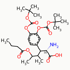 CCCC(=O)OC(C)C(C)C(c1ccc(OC(=O)OC(C)(C)C)c(OC(=O)OC(C)(C)C)c1)[C@H](N)C(=O)O